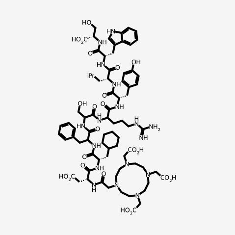 CC(C)C[C@@H](NC(=O)[C@H](Cc1ccc(O)cc1)NC(=O)C(CCCNC(=N)N)NC(=O)C(CO)NC(=O)C(Cc1ccccc1)NC(=O)[C@H](CC1CCCCC1)NC(=O)[C@@H](CC(=O)O)NC(=O)CN1CCN(CC(=O)O)CCN(CC(=O)O)CCN(CC(=O)O)CC1)C(=O)N[C@@H](Cc1c[nH]c2ccccc12)C(=O)N[C@@H](CO)C(=O)O